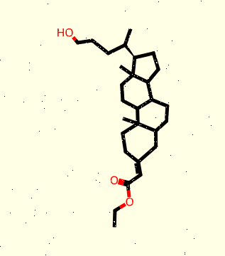 CCOC(=O)/C=C1\CCC2(C)C(CCC3C2CCC2(C)C3CC[C@@H]2C(C)CCCO)C1